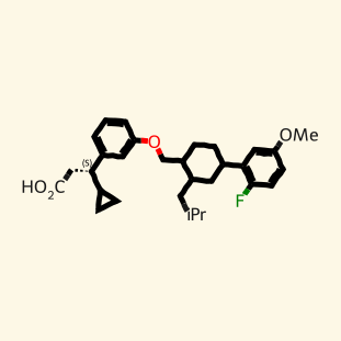 COc1ccc(F)c(C2CCC(COc3cccc([C@@H](CC(=O)O)C4CC4)c3)C(CC(C)C)C2)c1